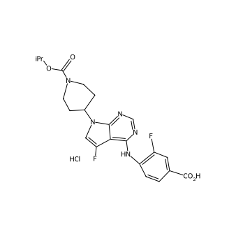 CC(C)OC(=O)N1CCC(n2cc(F)c3c(Nc4ccc(C(=O)O)cc4F)ncnc32)CC1.Cl